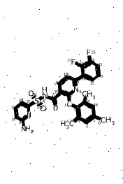 Cc1cc(C)c(Oc2nc(-c3cccc(F)c3F)ccc2C(=O)NS(=O)(=O)c2cccc(N)n2)c(C)c1